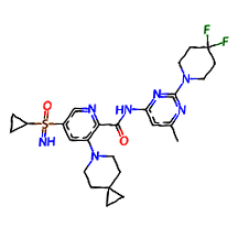 Cc1cc(NC(=O)c2ncc(S(=N)(=O)C3CC3)cc2N2CCC3(CC2)CC3)nc(N2CCC(F)(F)CC2)n1